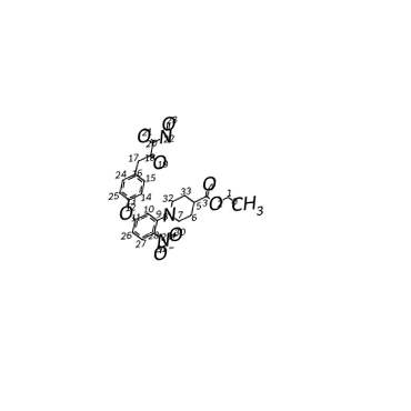 CCOC(=O)C1CCN(c2cc(Oc3ccc(CC(=O)C(=O)N=O)cc3)ccc2[N+](=O)[O-])CC1